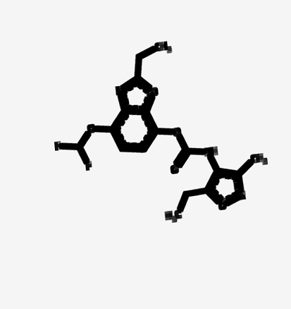 CCc1nc2c(OC(F)F)ccc(OC(=O)Nc3c(C)noc3CC)c2o1